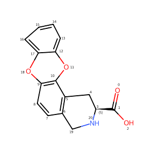 O=C(O)[C@@H]1Cc2c(ccc3c2Oc2ccccc2O3)CN1